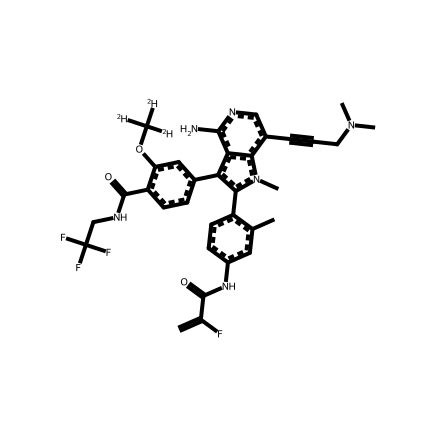 [2H]C([2H])([2H])Oc1cc(-c2c(-c3ccc(NC(=O)C(=C)F)cc3C)n(C)c3c(C#CCN(C)C)cnc(N)c23)ccc1C(=O)NCC(F)(F)F